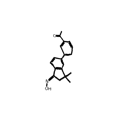 CC(=O)c1cccc(-c2ccc3c(c2)C(C)(C)C/C3=N\O)c1